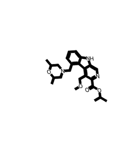 COCc1c(C(=O)OC(C)C)ncc2[nH]c3cccc(CN4CC(C)OC(C)C4)c3c12